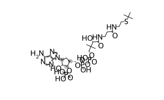 CC(C)(C)SCCNC(=O)CCNC(=O)C(O)C(C)(C)COP(=O)(O)OP(=O)(O)OC[C@H]1C[C@@H](n2cnc3c(N)ncnc32)C(O)[C@H]1OP(=O)(O)O